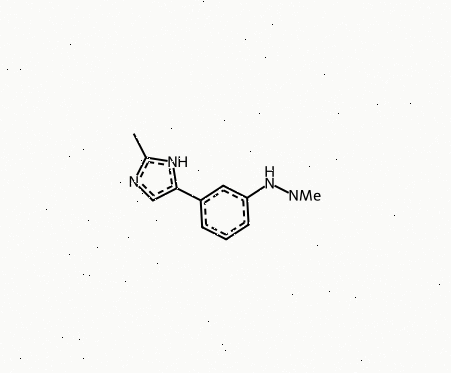 CNNc1cccc(-c2cnc(C)[nH]2)c1